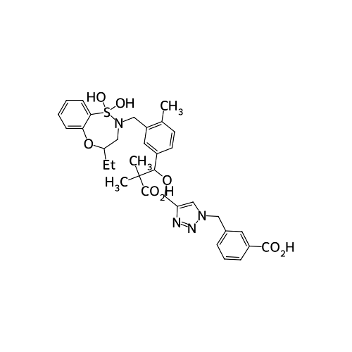 CCC1CN(Cc2cc(C(OCc3cn(Cc4cccc(C(=O)O)c4)nn3)C(C)(C)C(=O)O)ccc2C)S(O)(O)c2ccccc2O1